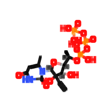 C#CC1(O)[C@@H](O)[C@@H]([C@@H](C)OP(=O)(O)OP(=O)(O)OP(=O)(O)O)O[C@H]1n1c(C)cc(=O)[nH]c1=O